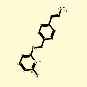 O=[N+]([O-])/C=C/c1ccc(COc2cccc(F)n2)cc1